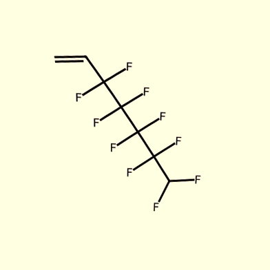 C=CC(F)(F)C(F)(F)C(F)(F)C(F)(F)C(F)F